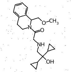 COCC1c2ccccc2CCN1C(=O)CNCC(O)(C1CC1)C1CC1